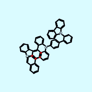 c1cc(-c2cccc3ccccc23)cc(N(c2ccc(-c3ccccc3-n3c4ccccc4c4ccccc43)cc2)c2ccccc2-c2cccc3oc4ccccc4c23)c1